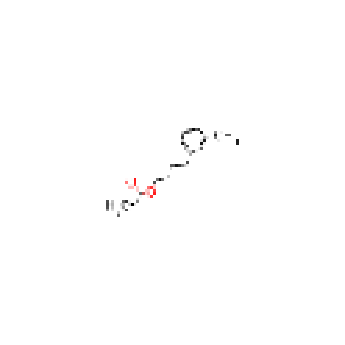 C=CC(=O)OCCCCc1cccc(C)c1